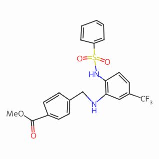 COC(=O)c1ccc(CNc2cc(C(F)(F)F)ccc2NS(=O)(=O)c2ccccc2)cc1